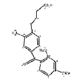 COc1ccc(C(=O)c2ccc(CCCC(=O)O)c(N)c2)c(OC)c1